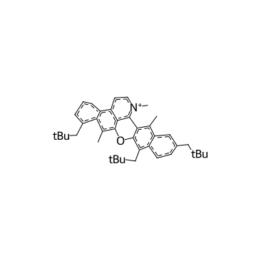 Cc1c2c(c(CC(C)(C)C)c3ccc(CC(C)(C)C)cc13)Oc1c(C)c3c(CC(C)(C)C)cccc3c3cc[n+](C)c-2c13